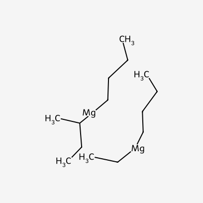 CCC[CH2][Mg][CH2]C.CCC[CH2][Mg][CH](C)CC